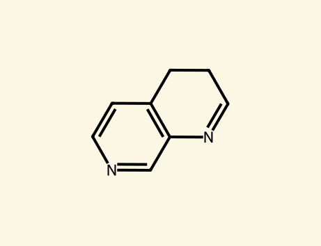 C1=Nc2cnccc2CC1